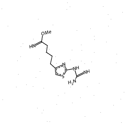 COC(=N)CCCCc1csc(NC(=N)N)n1